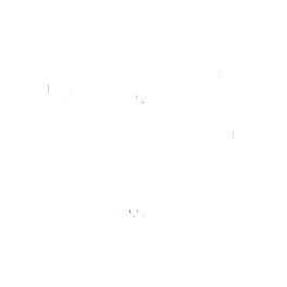 CCC(CC)c1cc(OC)cc(C(=O)O)n1